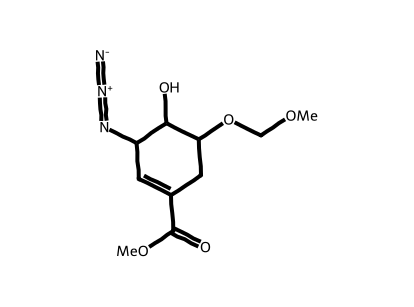 COCOC1CC(C(=O)OC)=CC(N=[N+]=[N-])C1O